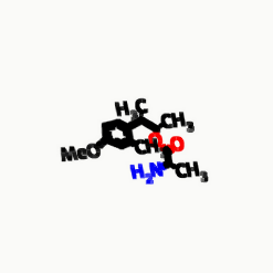 COc1ccc([C@H](C)[C@H](C)OC(=O)[C@@H](C)N)c(C)c1